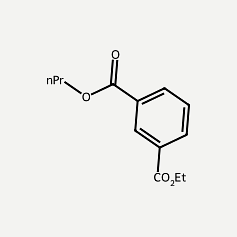 CCCOC(=O)c1cccc(C(=O)OCC)c1